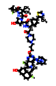 C#Cc1c(F)ccc2cc(O)cc(-c3ncc4c(N5CC6CCC(C5)N6)nc(OCCCN5CCN(C(=O)C[C@H](NC(=O)C6CC(O)CN6C(=O)[C@@H](NC(=O)C6(F)CC6)C(C)(C)C)c6ccc(-c7scnc7C)cc6)CC5)nc4c3F)c12